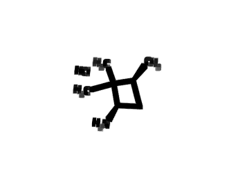 C[C@H]1C[C@@H](N)C1(C)C.Cl